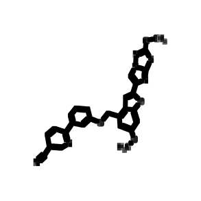 COc1cc(COc2cccc(-c3ccc(C#N)cn3)c2)c2cc(-c3cn4nc(OC)sc4n3)oc2c1